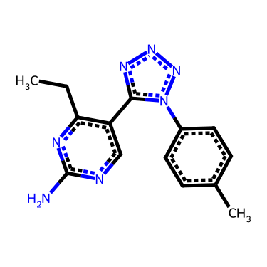 CCc1nc(N)ncc1-c1nnnn1-c1ccc(C)cc1